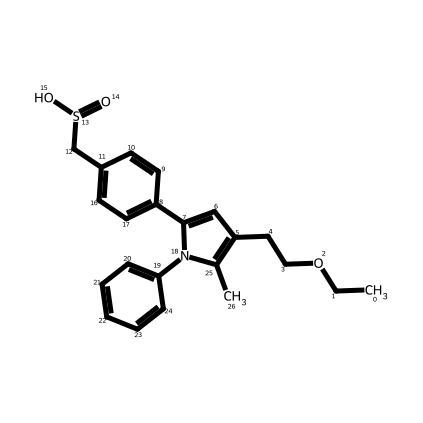 CCOCCc1cc(-c2ccc(CS(=O)O)cc2)n(-c2ccccc2)c1C